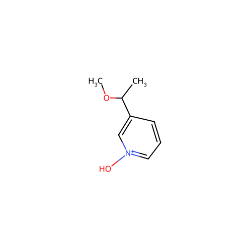 COC(C)c1ccc[n+](O)c1